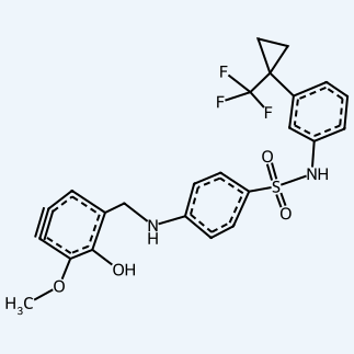 COc1c#ccc(CNc2ccc(S(=O)(=O)Nc3cccc(C4(C(F)(F)F)CC4)c3)cc2)c1O